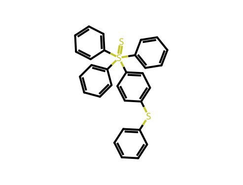 S=S(c1ccccc1)(c1ccccc1)(c1ccccc1)c1ccc(Sc2ccccc2)cc1